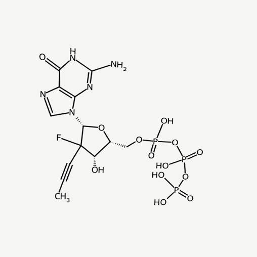 CC#CC1(F)[C@@H](O)[C@@H](COP(=O)(O)OP(=O)(O)OP(=O)(O)O)O[C@H]1n1cnc2c(=O)[nH]c(N)nc21